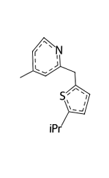 Cc1ccnc(Cc2ccc(C(C)C)s2)c1